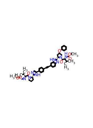 COO/C=N\[C@H](C(=O)N1CCC[C@H]1c1ncc(-c2ccc(C#Cc3ccc4nc([C@@H]5C[C@H](Oc6ccccc6)CN5C(=O)[C@@H](NC(=O)OC)C(C)C)[nH]c4c3)cc2)[nH]1)C(C)C